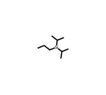 CCC[Si](C(C)C)C(C)C